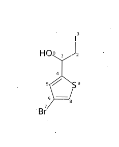 OC(CI)c1cc(Br)cs1